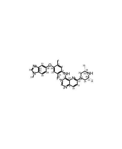 Cc1cc(Nc2ncnc3ccc(N4C[C@@H](C)N[C@@H](C)C4)nc23)c(F)cc1Oc1ccc2c(c1)ncn2C